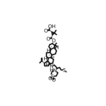 C=C(C)[C@@H]1CC[C@]2(NCC(CCSC)N3CCS(=O)(=O)CC3)CC[C@]3(C)[C@H](CC[C@@H]4[C@@]5(C)CC[C@H](OC(=O)[C@H]6[C@@H](C(=O)O)C6(C)C)C(C)(C)[C@@H]5CC[C@]43C)[C@@H]12